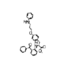 COC(=O)[C@H](Cc1ccc(OCCCNc2ccccc2)cc1)Nc1ccccc1C(=O)c1ccccc1